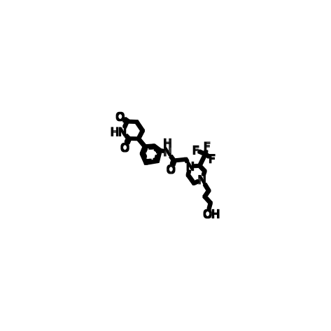 O=C1CCC(c2cccc(NC(=O)CN3CCN(CCCO)CC3C(F)(F)F)c2)C(=O)N1